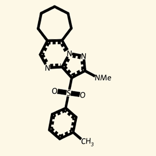 CNc1nn2c3c(cnc2c1S(=O)(=O)c1cccc(C)c1)CCCCC3